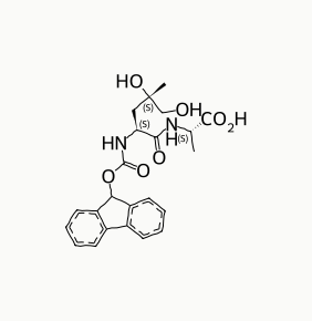 C[C@H](NC(=O)[C@H](C[C@](C)(O)CO)NC(=O)OC1c2ccccc2-c2ccccc21)C(=O)O